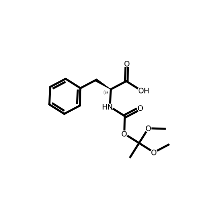 COC(C)(OC)OC(=O)N[C@@H](Cc1ccccc1)C(=O)O